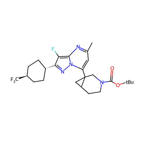 Cc1cc(C23CC2CCN(C(=O)OC(C)(C)C)C3)n2nc([C@H]3CC[C@H](C(F)(F)F)CC3)c(F)c2n1